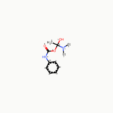 CCN(CC)C(C)(O)OC(=O)Nc1ccccc1